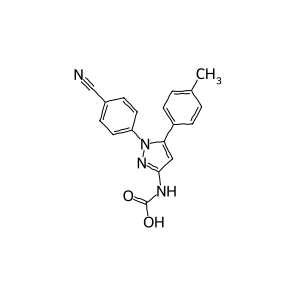 Cc1ccc(-c2cc(NC(=O)O)nn2-c2ccc(C#N)cc2)cc1